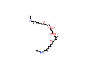 C=CCN(C)C/C=C(\C)CC/C=C(\C)CCC(=O)CCC=C(C)COC(=O)/C=C/C(=O)OCC(C)=CCCC(=O)CC/C(C)=C/CC/C(C)=C/CN(C)CC=C